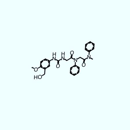 COc1ccc(NC(=O)NCC(=O)N(CC(=O)N(C)c2ccccc2)c2ccccc2)cc1CO